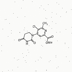 COC(=O)c1cc(N2CCC(=O)NC2=O)c(Cl)c(C)n1